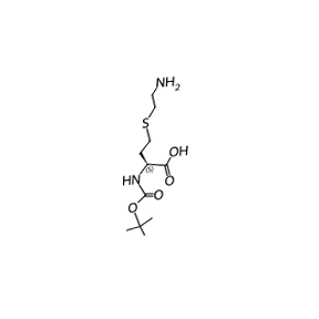 CC(C)(C)OC(=O)N[C@@H](CCSCCN)C(=O)O